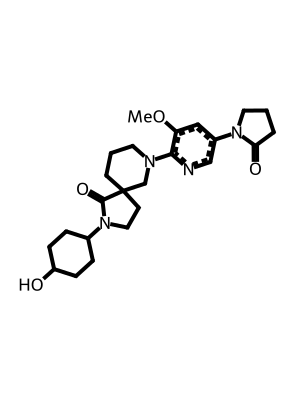 COc1cc(N2CCCC2=O)cnc1N1CCCC2(CCN(C3CCC(O)CC3)C2=O)C1